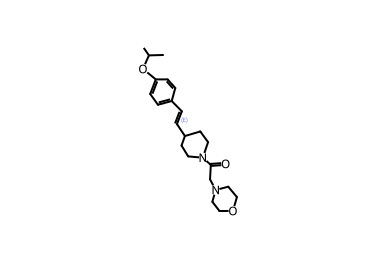 CC(C)Oc1ccc(/C=C/C2CCN(C(=O)CN3CCOCC3)CC2)cc1